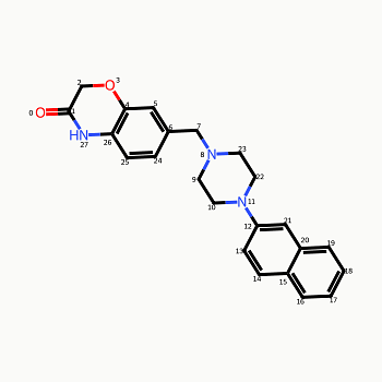 O=C1COc2cc(CN3CCN(c4ccc5ccccc5c4)CC3)ccc2N1